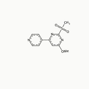 COc1cc(-c2ccncc2)nc(S(C)(=O)=O)n1